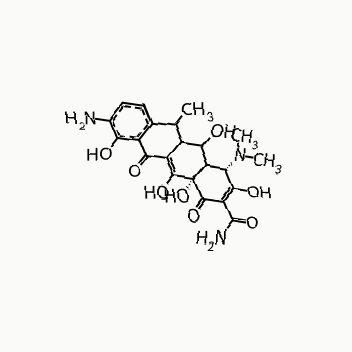 CC1c2ccc(N)c(O)c2C(=O)C2=C(O)[C@]3(O)C(=O)C(C(N)=O)=C(O)[C@@H](N(C)C)C3C(O)C21